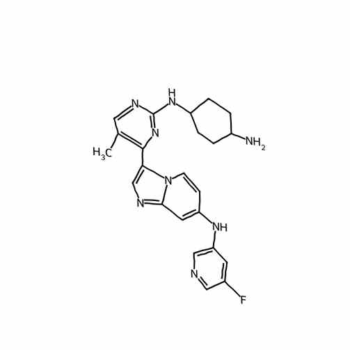 Cc1cnc(NC2CCC(N)CC2)nc1-c1cnc2cc(Nc3cncc(F)c3)ccn12